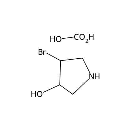 O=C(O)O.OC1CNCC1Br